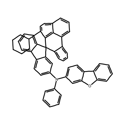 c1ccc(N(c2ccc3c(c2)C2(c4ccccc4-3)c3ccccc3-c3cccc4ccc(C5CCCCC5)c2c34)c2ccc3c(c2)oc2ccccc23)cc1